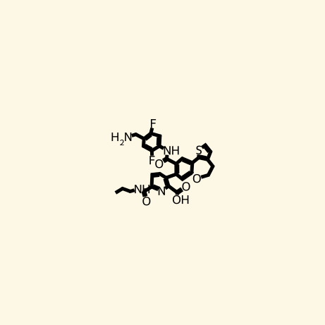 CCCNC(=O)c1ccc(-c2cc3c(cc2C(=O)Nc2cc(F)c(CN)cc2F)-c2sccc2CCO3)c(C(=O)O)n1